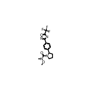 CON(C)C(=O)N1CCCC1c1ccc(-c2noc(C(F)(F)F)n2)cc1